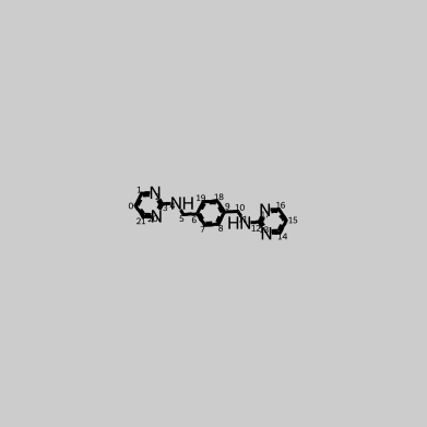 c1cnc(NCc2ccc(CNc3ncccn3)cc2)nc1